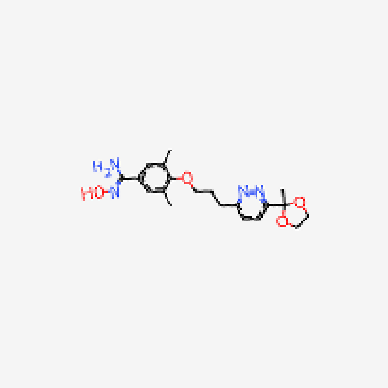 Cc1cc(C(N)=NO)cc(C)c1OCCCc1ccc(C2(C)OCCO2)nn1